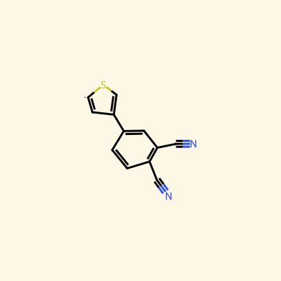 N#Cc1ccc(-c2c[c]sc2)cc1C#N